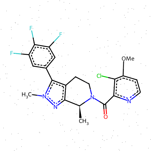 COc1ccnc(C(=O)N2CCc3c(nn(C)c3-c3cc(F)c(F)c(F)c3)[C@@H]2C)c1Cl